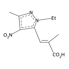 CCn1nc(C)c([N+](=O)[O-])c1C=C(C)C(=O)O